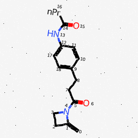 C=C1CCN1C(=O)CCc1ccc(NC(=O)CCC)cc1